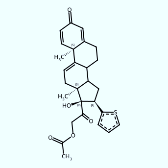 CC(=O)OCC(=O)[C@@]1(O)[C@H](c2cccs2)CC2C3CCC4=CC(=O)C=C[C@]4(C)C3=CC[C@@]21C